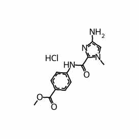 COC(=O)c1ccc(NC(=O)c2nc(N)cn2C)cc1.Cl